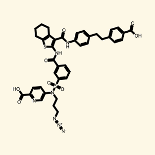 [N-]=[N+]=NCCCN(c1ccc(C(=O)O)nc1)S(=O)(=O)c1cccc(C(=O)Nc2sc3c(c2C(=O)Nc2ccc(CCc4ccc(C(=O)O)cc4)cc2)CCCC3)c1